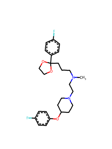 CN(CCCC1(c2ccc(F)cc2)OCCO1)CCN1CCC(Oc2ccc(F)cc2)CC1